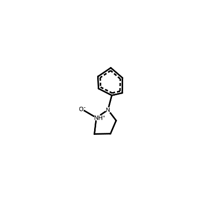 [O-][NH+]1CCCN1c1ccccc1